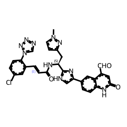 Cn1ccc(C[C@H](NC(=O)/C=C/c2cc(Cl)ccc2-n2cnnn2)c2nc(-c3ccc4[nH]c(=O)cc(C=O)c4c3)c[nH]2)n1